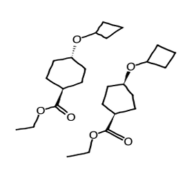 CCOC(=O)[C@H]1CC[C@@H](OC2CCC2)CC1.CCOC(=O)[C@H]1CC[C@H](OC2CCC2)CC1